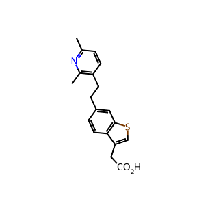 Cc1ccc(CCc2ccc3c(CC(=O)O)csc3c2)c(C)n1